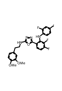 COc1ccc(CCNc2nnc(-c3ccc(F)c(F)c3Nc3ccc(I)cc3F)o2)cc1OC